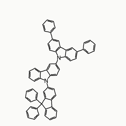 c1ccc(-c2ccc3c(c2)c2cc(-c4ccccc4)ccc2n3-c2ccc3c(c2)c2ccccc2n3-c2ccc3c(c2)C(c2ccccc2)(c2ccccc2)c2ccccc2-3)cc1